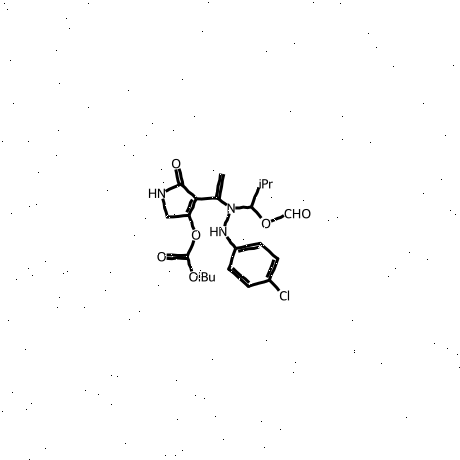 C=C(C1=C(OC(=O)OCC(C)C)CNC1=O)N(Nc1ccc(Cl)cc1)C(OC=O)C(C)C